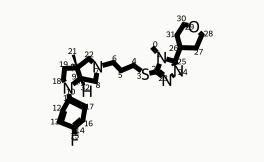 Cn1c(SCCCN2C[C@@H]3N(c4ccc(F)cc4)CC[C@]3(C)C2)nnc1C1CCOCC1